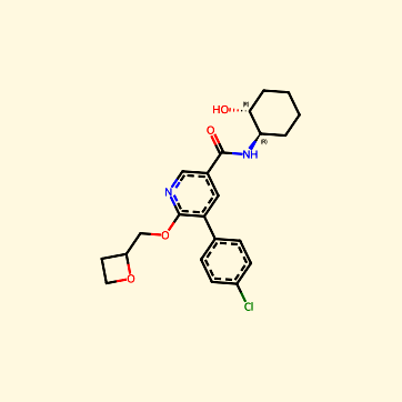 O=C(N[C@@H]1CCCC[C@H]1O)c1cnc(OCC2CCO2)c(-c2ccc(Cl)cc2)c1